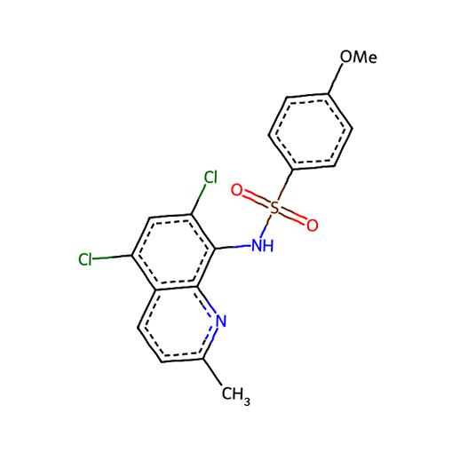 COc1ccc(S(=O)(=O)Nc2c(Cl)cc(Cl)c3ccc(C)nc23)cc1